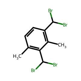 Cc1ccc(C(Br)Br)c(C)c1C(Br)Br